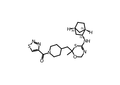 CC1(CC2CCN(C(=O)c3csnn3)CC2)OCN=C(N[C@H]2C[C@@H]3CC[C@H]2C3)S1